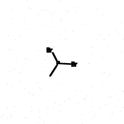 CP(Br)Br